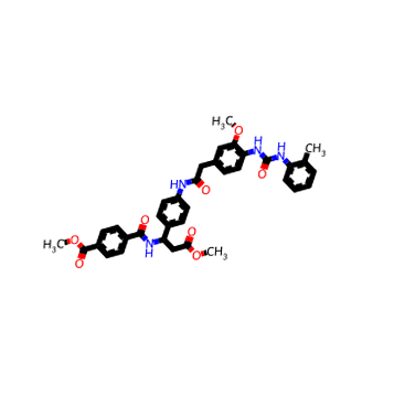 COC(=O)CC(NC(=O)c1ccc(C(=O)OC)cc1)c1ccc(NC(=O)Cc2ccc(NC(=O)Nc3ccccc3C)c(OC)c2)cc1